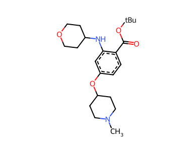 CN1CCC(Oc2ccc(C(=O)OC(C)(C)C)c(NC3CCOCC3)c2)CC1